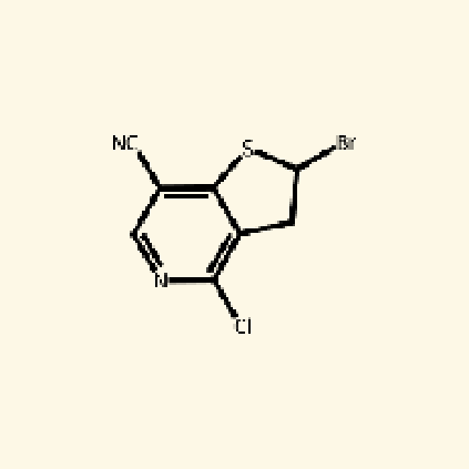 N#Cc1cnc(Cl)c2c1SC(Br)C2